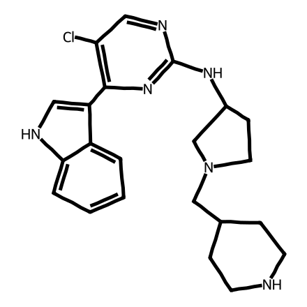 Clc1cnc(NC2CCN(CC3CCNCC3)C2)nc1-c1c[nH]c2ccccc12